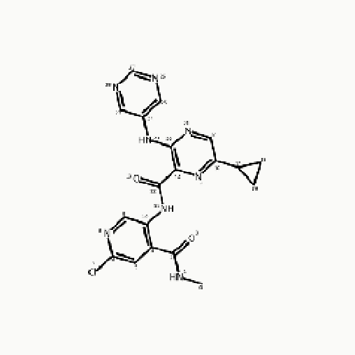 CNC(=O)c1cc(Cl)ncc1NC(=O)c1nc(C2CC2)cnc1Nc1cncnc1